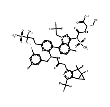 CC(C)(CCc1ccc(-c2ccc(Cl)c3c(N(C(=O)N[C@@H](CO)C(=O)O)S(C)(=O)=O)nn(CC(F)(F)F)c23)c([C@H](Cc2cc(F)cc(F)c2)NC(=O)Cn2nc(C(F)(F)F)c3c2C(F)(F)[C@@H]2CC32)n1)S(C)(=O)=O